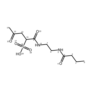 CCCC(=O)NCCNC(=O)C(CC(C)=O)S(=O)(=O)O